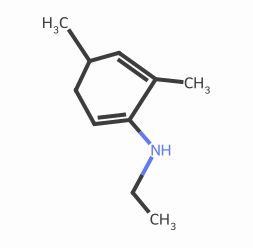 CCNC1=CCC(C)C=C1C